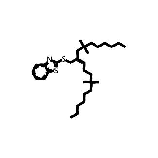 CCCCCCC(C)(C)CC/C=C(\CSc1nc2ccccc2s1)CC(C)(C)CCCCCC